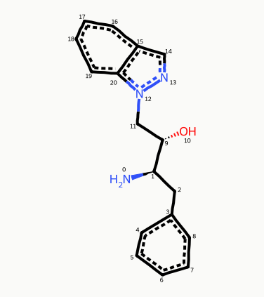 N[C@H](Cc1ccccc1)[C@@H](O)Cn1ncc2ccccc21